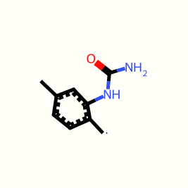 [CH2]c1ccc(C)cc1NC(N)=O